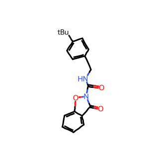 CC(C)(C)c1ccc(CNC(=O)n2oc3ccccc3c2=O)cc1